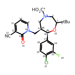 CC(C)(C)C1CN(C(=O)O)C[C@H](Cn2cccc(C#N)c2=O)[C@H](c2ccc(Cl)c(F)c2)O1